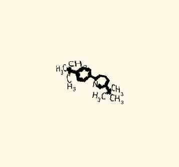 CC(C)(C)C1=CCC=C(c2ccc(C(C)(C)C)cc2)N=C1